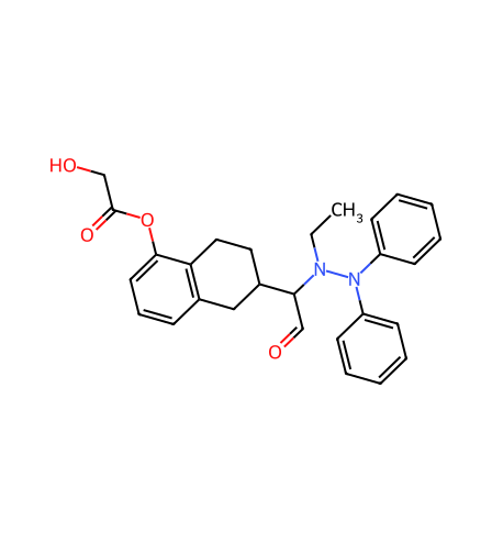 CCN(C(C=O)C1CCc2c(cccc2OC(=O)CO)C1)N(c1ccccc1)c1ccccc1